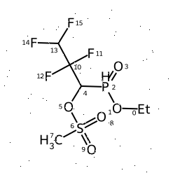 CCO[PH](=O)C(OS(C)(=O)=O)C(F)(F)C(F)F